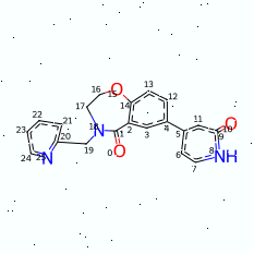 O=C1c2cc(-c3cc[nH]c(=O)c3)ccc2OCCN1Cc1ccccn1